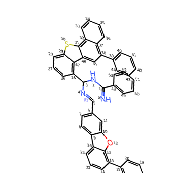 N=C(NC(/N=C/c1ccc2c(c1)oc1c(-c3ccccc3)cccc12)c1cccc2sc3c4ccccc4c(-c4ccccc4)cc3c12)c1ccccc1